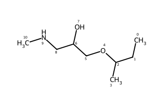 CCC(C)OCC(O)CNC